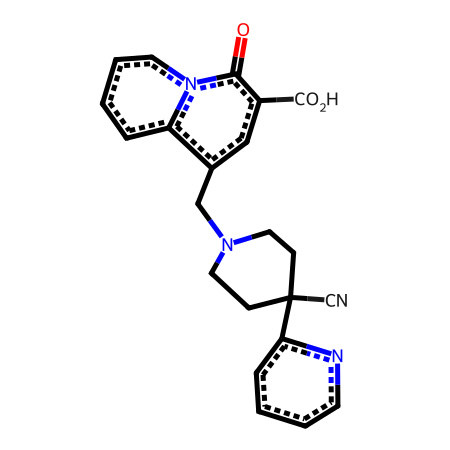 N#CC1(c2ccccn2)CCN(Cc2cc(C(=O)O)c(=O)n3ccccc23)CC1